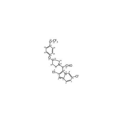 CCc1nc2ccc(Cl)cn2c1C(C=O)N1CCC(Oc2ccc(OC(F)(F)F)cc2)CC1